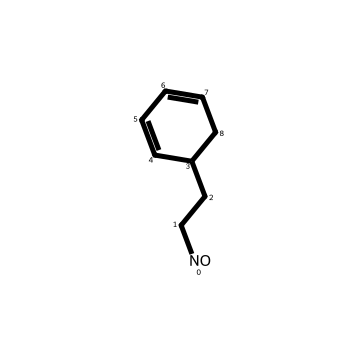 O=NCCC1C=CC=CC1